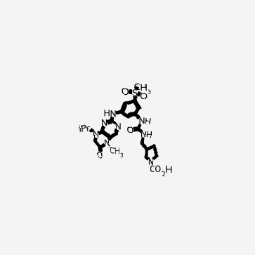 CC(C)N1CC(=O)N(C)c2cnc(Nc3cc(NC(=O)NCC4CCN(C(=O)O)C4)cc(S(C)(=O)=O)c3)nc21